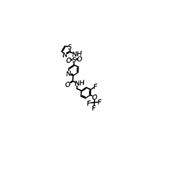 O=C(NCc1ccc(OC(F)(F)F)c(F)c1)c1ccc(S(=O)(=O)Nc2nccs2)cn1